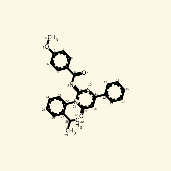 COc1ccc(C(=O)/N=c2\sc(-c3ccccc3)cc(=O)n2-c2ccccc2C(C)C)cc1